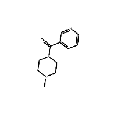 CN1CCN(C(=O)c2cccnc2)CC1